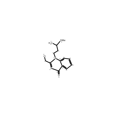 COC(C)CCn1c(CCl)nc(=O)c2ccccc21